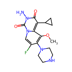 COc1c(N2CCNCC2)c(F)cn2c(=O)n(N)c(=O)c(C3CC3)c12